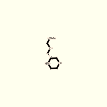 COCOC[C@@H]1COCCN1